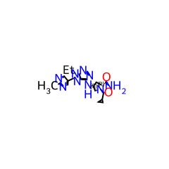 CCn1c(-c2cnc(C)nc2)nc2c(N[C@H]3C[C@H](C(N)=O)N(C(=O)C4CC4)C3)ncnc21